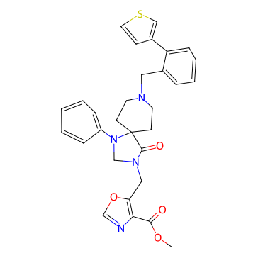 COC(=O)c1ncoc1CN1CN(c2ccccc2)C2(CCN(Cc3ccccc3-c3ccsc3)CC2)C1=O